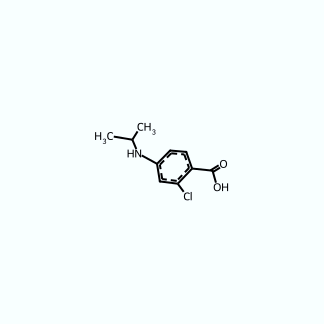 CC(C)Nc1ccc(C(=O)O)c(Cl)c1